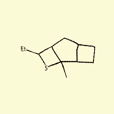 CCC1SC2(C)C3CCC3CC12